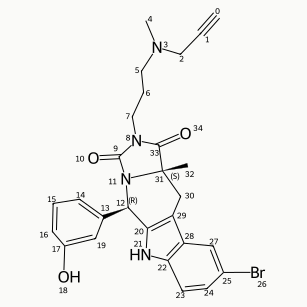 C#CCN(C)CCCN1C(=O)N2[C@H](c3cccc(O)c3)c3[nH]c4ccc(Br)cc4c3C[C@@]2(C)C1=O